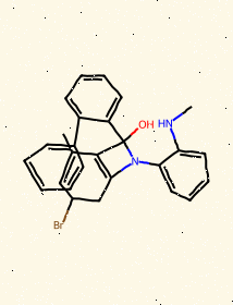 CNc1ccccc1N1C2=C(C(C)=CC(Br)C2)C1(O)c1ccccc1-c1ccccc1